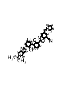 Cc1c(-c2nc3cc(CN4CCCC4)cc(C#N)c3o2)cccc1-c1cccc(-n2cc3c(n2)CN(C(C)C)C3)c1Cl